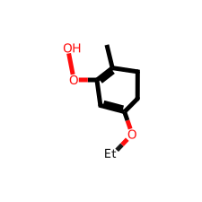 CCOC1=CC(OO)=C(C)CC1